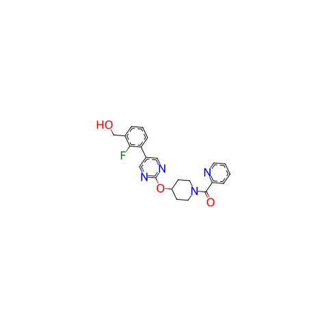 O=C(c1ccccn1)N1CCC(Oc2ncc(-c3cccc(CO)c3F)cn2)CC1